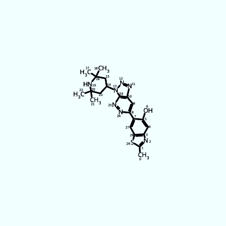 Cc1nc2cc(O)c(-c3cc4nnn(C5CC(C)(C)NC(C)(C)C5)c4nn3)cc2s1